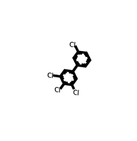 Clc1cccc(-c2cc(Cl)c(Cl)c(Cl)c2)c1